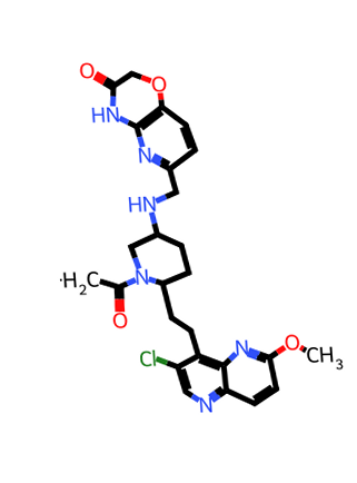 [CH2]C(=O)N1CC(NCc2ccc3c(n2)NC(=O)CO3)CCC1CCc1c(Cl)cnc2ccc(OC)nc12